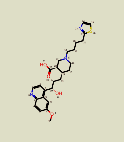 COc1ccc2nccc([C@@H](O)CC[C@@H]3CCN(CCCCc4nccs4)C[C@@H]3C(=O)O)c2c1